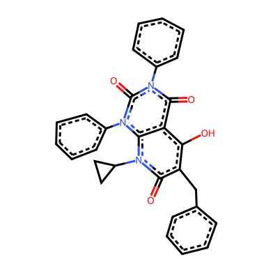 O=c1c2c(O)c(Cc3ccccc3)c(=O)n(C3CC3)c2n(-c2ccccc2)c(=O)n1-c1ccccc1